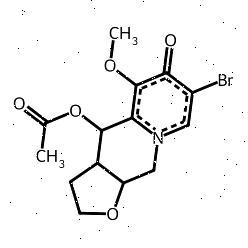 COc1c2n(cc(Br)c1=O)CC1OCCC1C2OC(C)=O